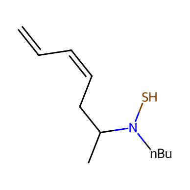 C=C/C=C\CC(C)N(S)CCCC